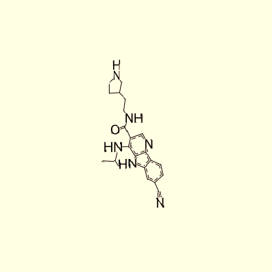 CC(C)Nc1c(C(=O)NCCC2CCNC2)cnc2c1[nH]c1cc(C#N)ccc12